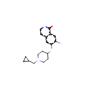 Nc1cc2c(=O)[nH]ccc2cc1OC1CCN(CC2CC2)CC1